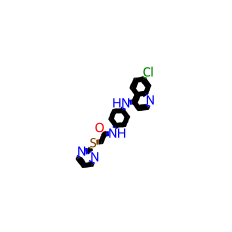 O=C(CSc1ncccn1)NC1CCC(Nc2ccnc3cc(Cl)ccc23)CC1